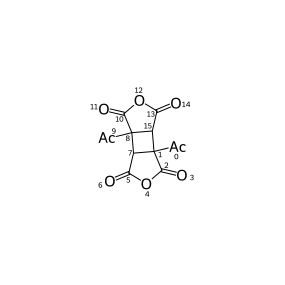 CC(=O)C12C(=O)OC(=O)C1C1(C(C)=O)C(=O)OC(=O)C21